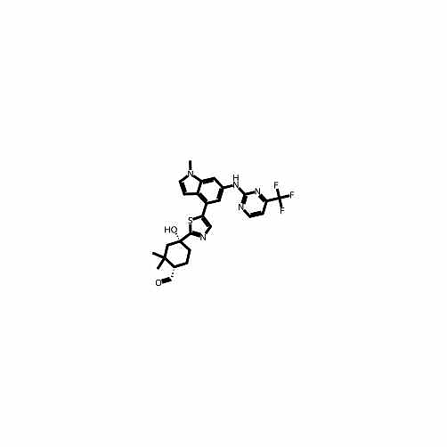 Cn1ccc2c(-c3cnc([C@@]4(O)CC[C@H](C=O)C(C)(C)C4)s3)cc(Nc3nccc(C(F)(F)F)n3)cc21